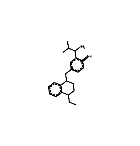 CCC1CCC(Cc2ccc(=N)n(C(N)C(C)C)c2)c2ccccc21